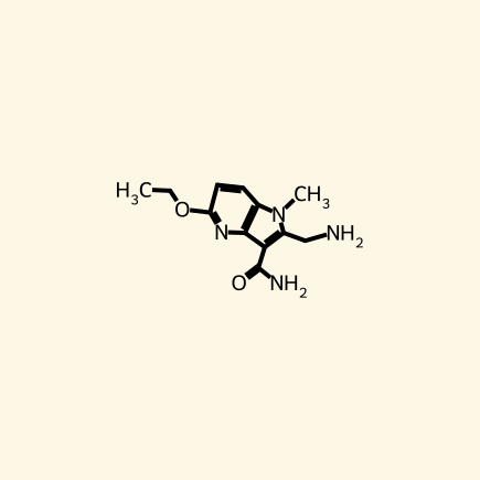 CCOc1ccc2c(n1)c(C(N)=O)c(CN)n2C